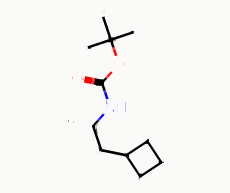 C[C@@H]([CH]C1CCC1)NC(=O)OC(C)(C)C